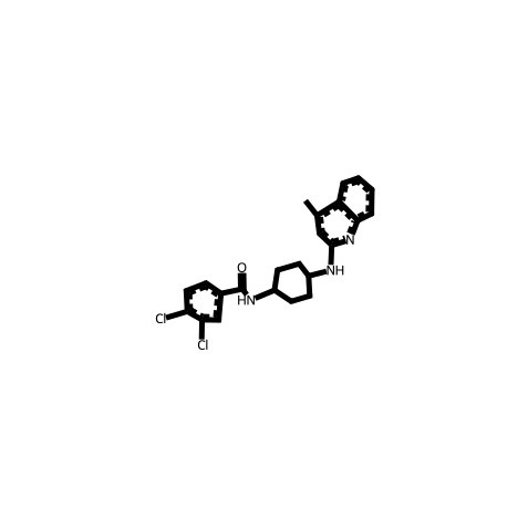 Cc1cc(NC2CCC(NC(=O)c3ccc(Cl)c(Cl)c3)CC2)nc2ccccc12